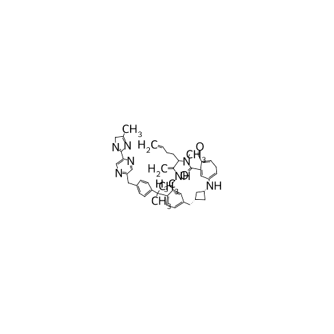 C=CCCC(C(=C)NC)N(C)C(=O)C1=CC(N[C@H]2C[C@@H](Cc3ccc(C(C)(C)c4ccc(Cc5cnc(C6=NCC(C)=N6)cn5)cc4)cc3)C2)=CCC=C1C=O